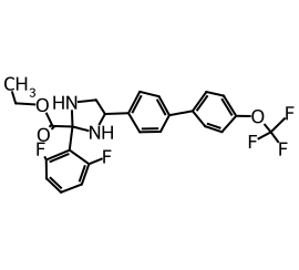 CCOC(=O)C1(c2c(F)cccc2F)NCC(c2ccc(-c3ccc(OC(F)(F)F)cc3)cc2)N1